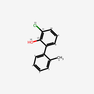 Cc1ccccc1-c1cccc(Cl)c1O